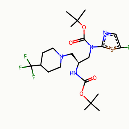 CC(C)(C)OC(=O)N[C@@H](CN1CCC(C(F)(F)F)CC1)CN(C(=O)OC(C)(C)C)c1ncc(Br)s1